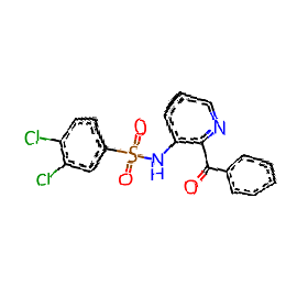 O=C(c1ccccc1)c1ncccc1NS(=O)(=O)c1ccc(Cl)c(Cl)c1